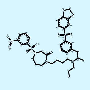 CCCN(CCCCN1CCCN(S(=O)(=O)c2cccc([N+](=O)[O-])c2)CC1=O)C(C)Cc1cccc(S(=O)(=O)c2ccc3c(c2)OCO3)c1